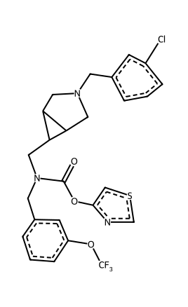 O=C(Oc1cscn1)N(Cc1cccc(OC(F)(F)F)c1)CC1C2CN(Cc3cccc(Cl)c3)CC21